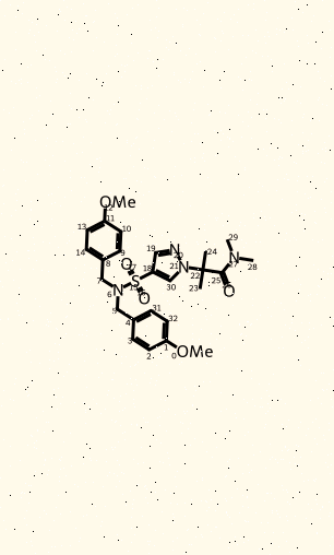 COc1ccc(CN(Cc2ccc(OC)cc2)S(=O)(=O)c2cnn(C(C)(C)C(=O)N(C)C)c2)cc1